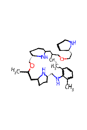 Cc1cccc(C)c1NC[C@@H]1CCC(CC(C)OC[C@@H]2CCC(CC(C)COCC[C@@H]3CCCN3)N2)N1